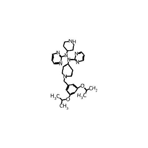 CC(C)Oc1cc(CN2CCC(N(c3ncccn3)N(c3ncccn3)C3CCNCC3)CC2)cc(OC(C)C)c1